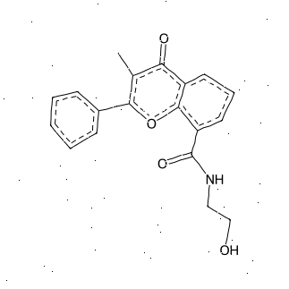 Cc1c(-c2ccccc2)oc2c(C(=O)NCCO)cccc2c1=O